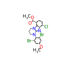 COC(=O)c1ccc(Cl)c2nc3n(c12)CCCN3c1c(Br)cc(OC)cc1Br